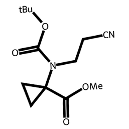 COC(=O)C1(N(CCC#N)C(=O)OC(C)(C)C)CC1